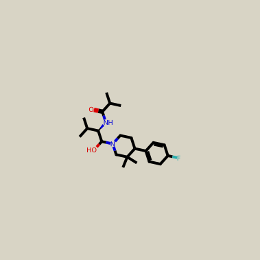 CC(C)C(=O)N[C@H](C(C)C)C(O)N1CCC(C2=CCC(F)C=C2)C(C)(C)C1